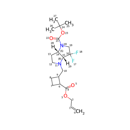 C=CCOC(=O)C1CCC1CN1CC[C@H]2[C@@H]1C(F)(F)CN2C(=O)OC(C)(C)C